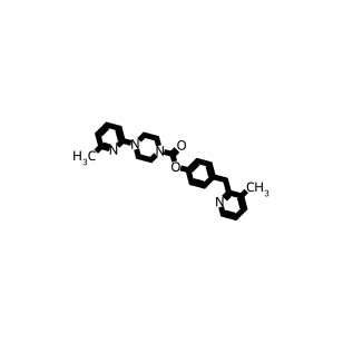 Cc1cccc(N2CCN(C(=O)Oc3ccc(Cc4ncccc4C)cc3)CC2)n1